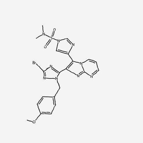 COc1ccc(Cn2nc(Br)nc2-c2nc3ncccn3c2-c2cn(S(=O)(=O)N(C)C)cn2)cc1